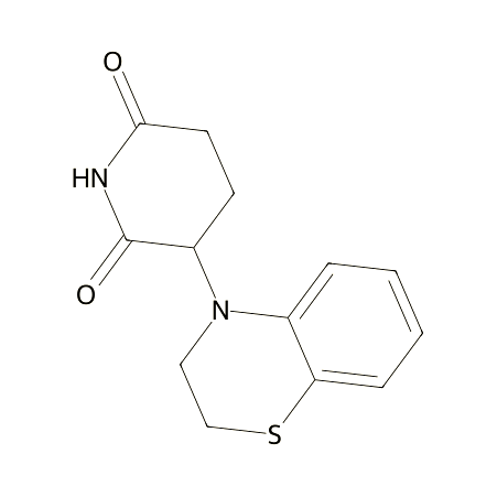 O=C1CCC(N2CCSc3ccccc32)C(=O)N1